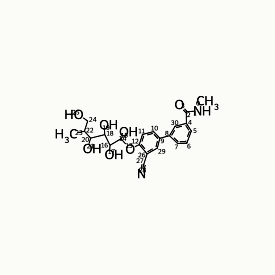 CNC(=O)c1cccc(-c2ccc(OC(O)C(O)C(O)C(O)C(C)CO)c(C#N)c2)c1